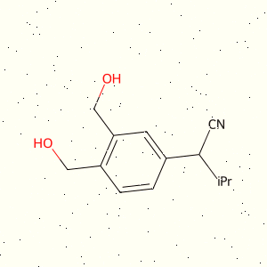 CC(C)C(C#N)c1ccc(CO)c(CO)c1